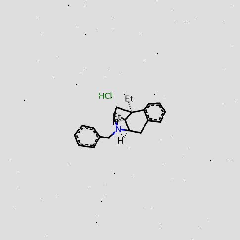 CC[C@@H]1[C@H]2Cc3ccccc3[C@]1(CC)CCN2Cc1ccccc1.Cl